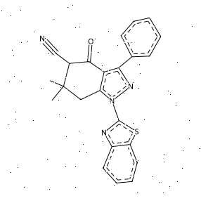 CC1(C)Cc2c(c(-c3ccccc3)nn2-c2nc3ccccc3s2)C(=O)C1C#N